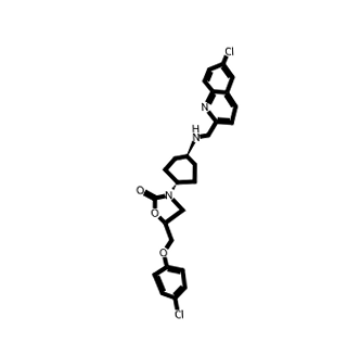 O=C1OC(COc2ccc(Cl)cc2)CN1[C@H]1CC[C@H](NCc2ccc3cc(Cl)ccc3n2)CC1